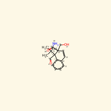 CC(C)(C)C1(C=O)c2ccccc2C=CC1(CO)C(N)=O